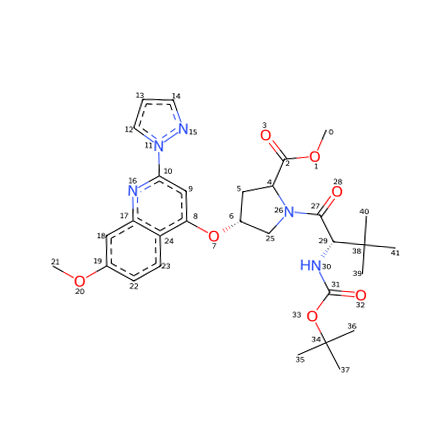 COC(=O)C1C[C@@H](Oc2cc(-n3cccn3)nc3cc(OC)ccc23)CN1C(=O)[C@@H](NC(=O)OC(C)(C)C)C(C)(C)C